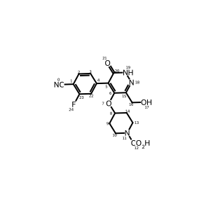 N#Cc1ccc(-c2c(OC3CCN(C(=O)O)CC3)c(CO)n[nH]c2=O)cc1F